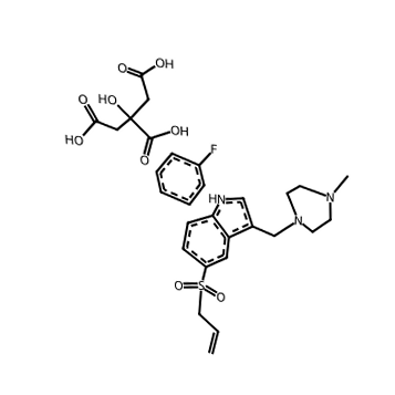 C=CCS(=O)(=O)c1ccc2[nH]cc(CN3CCN(C)CC3)c2c1.Fc1ccccc1.O=C(O)CC(O)(CC(=O)O)C(=O)O